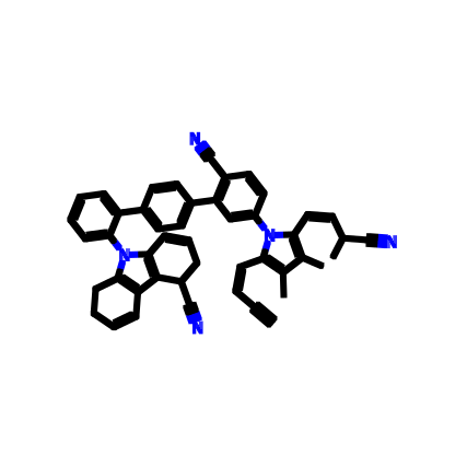 C#C/C=C\c1c(C)c(C)c(/C=C\C(C)C#N)n1-c1ccc(C#N)c(-c2ccc(-c3ccccc3-n3c4c(c5c3CCC=C5)C(C#N)CC=C4)cc2)c1